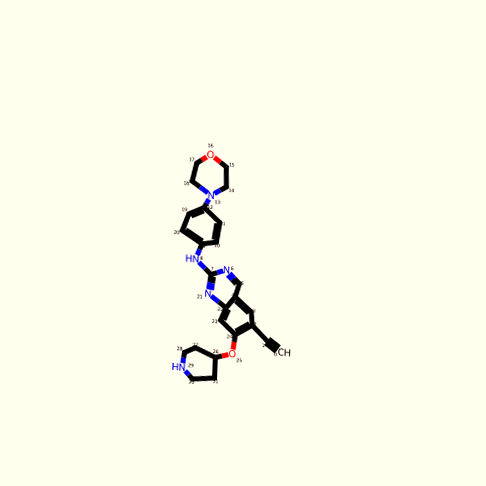 C#Cc1cc2cnc(Nc3ccc(N4CCOCC4)cc3)nc2cc1OC1CCNCC1